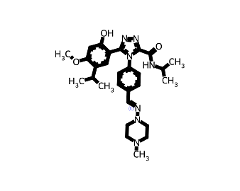 COc1cc(O)c(-c2nnc(C(=O)NC(C)C)n2-c2ccc(/C=N/N3CCN(C)CC3)cc2)cc1C(C)C